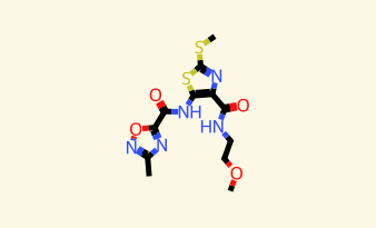 COCCNC(=O)c1nc(SC)sc1NC(=O)c1nc(C)no1